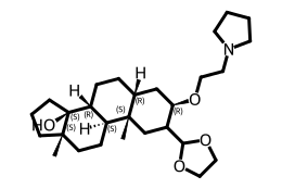 C[C@]12CC(C3OCCO3)[C@H](OCCN3CCCC3)C[C@H]1CC[C@@H]1[C@@H]2CC[C@]2(C)CCC[C@]12O